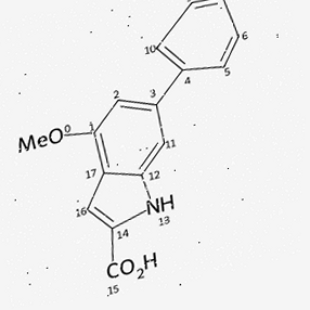 COc1cc(-c2ccc(F)cc2)cc2[nH]c(C(=O)O)cc12